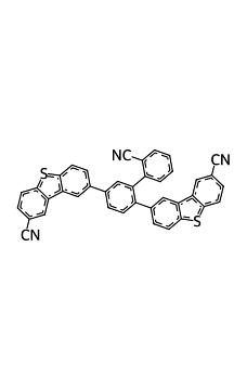 N#Cc1ccc2sc3ccc(-c4ccc(-c5ccc6sc7ccc(C#N)cc7c6c5)c(-c5ccccc5C#N)c4)cc3c2c1